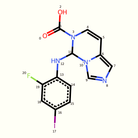 O=C(O)N1C=CC2=CN=C[N+]2C1Nc1ccc(I)cc1F